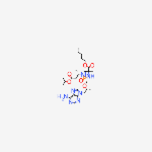 CCCCCOC(=O)C(C)(C)N[P@](=O)(CO[C@H](C)Cn1cnc2c(N)ncnc21)N[C@@H](C)CC(=O)OC(C)C